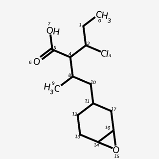 CCC(Cl)C(C(=O)O)C(C)CC1CCC2OC2C1